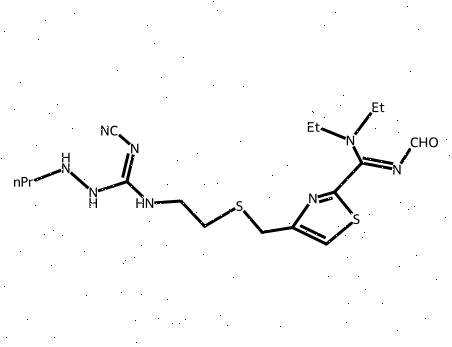 CCCNNC(=NC#N)NCCSCc1csc(C(=NC=O)N(CC)CC)n1